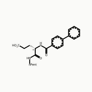 CCCCCNC(=O)[C@H](CCC(=O)O)NC(=O)c1ccc(-c2ccccc2)cc1